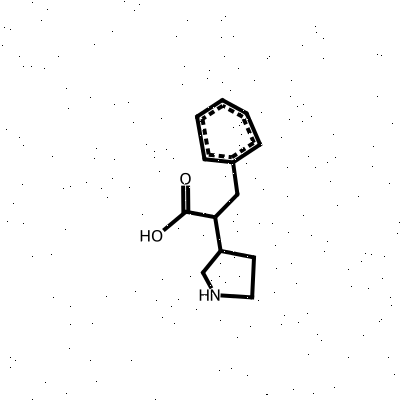 O=C(O)C(Cc1ccccc1)C1CCNC1